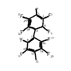 CC1=C(F)C(F)C(c2c(F)c(F)c(C)c(F)c2F)C(F)=C1F